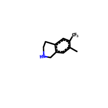 Cc1cc2c(cc1C(F)(F)F)CCNC2